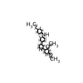 CCCc1ccc(Nc2ccc(-c3ccnc(-c4ccc(OCC)cc4OCC)c3)cc2)cc1